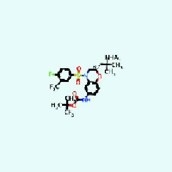 CC(=O)NC(C)(C)C[C@H]1CN(S(=O)(=O)c2ccc(F)c(C(F)(F)F)c2)c2cc(NC(=O)OC(C)(C)C(F)(F)F)ccc2O1